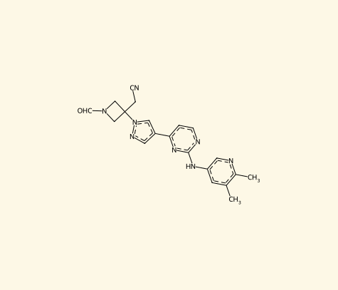 Cc1cc(Nc2nccc(-c3cnn(C4(CC#N)CN(C=O)C4)c3)n2)cnc1C